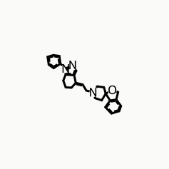 C(/CN1CCC2(CC1)OCc1ccccc12)=C1/CCCc2c1cnn2-c1ccccc1